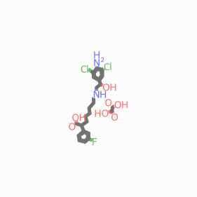 Nc1c(Cl)cc(C(O)CNCCCCCCC(C(=O)O)c2cccc(F)c2)cc1Cl.O=C(O)C(=O)O